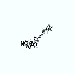 O=C1CCC(N2C(=O)c3cccc(NCCCCCCNC(=O)C4CC5(CCC5)C4)c3C2=O)C(=O)N1